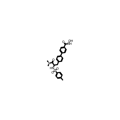 Cc1ccc(S(=O)(=O)NC(Cc2ccc(-c3ccc(C(=O)NO)cc3)cc2)C(=O)N(C)C)cc1